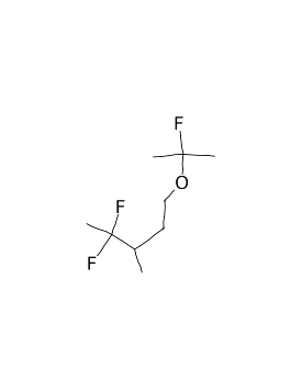 CC(CCOC(C)(C)F)C(C)(F)F